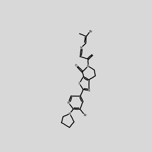 C=C(/C=N\C=C(/C)Br)N1CCc2nc(-c3cnc(N4CCCC4)c(Br)c3)sc2C1=O